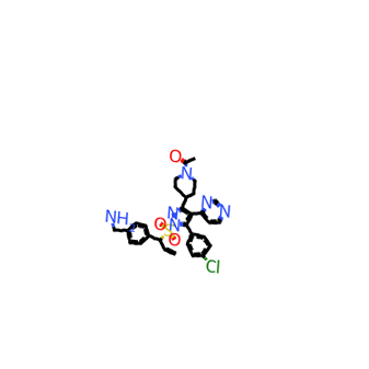 C=CC(c1ccc(CN)cc1)S(=O)(=O)n1nc(C2CCN(C(C)=O)CC2)c(-c2ccncn2)c1-c1ccc(Cl)cc1